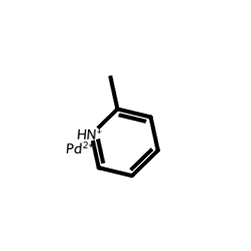 Cc1cccc[nH+]1.[Pd+2]